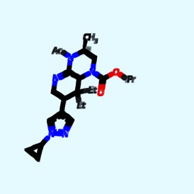 CCC1(CC)C(c2cnn(C3CC3)c2)CN=C2C1N(C(=O)OC(C)C)C[C@H](C)N2C(C)=O